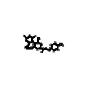 C=Cc1cc(C)cc(C)c1C1=C(OC)CC(C(C)CSc2ccc(C(F)(F)F)cc2)OC1=O